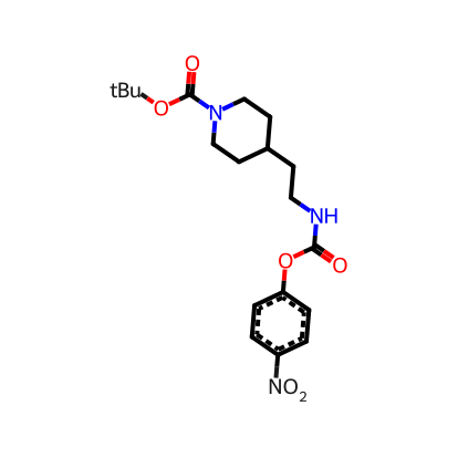 CC(C)(C)OC(=O)N1CCC(CCNC(=O)Oc2ccc([N+](=O)[O-])cc2)CC1